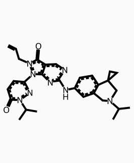 C=CCn1c(=O)c2cnc(Nc3ccc4c(c3)CN(C(C)C)CC43CC3)nc2n1-c1ccc(=O)n(C(C)C)n1